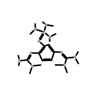 CN(C)C(=Nc1ccc(N=C(N(C)C)N(C)C)c(N=P(N(C)C)(N(C)C)N(C)C)c1)N(C)C